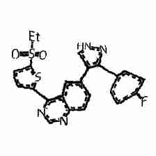 CCS(=O)(=O)c1ccc(-c2ncnc3ccc(-c4c[nH]nc4-c4ccc(F)cc4)cc23)s1